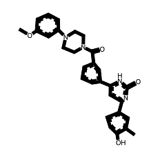 COc1cccc(N2CCN(C(=O)c3cccc(-c4cc(-c5ccc(O)c(C)c5)nc(=O)[nH]4)c3)CC2)c1